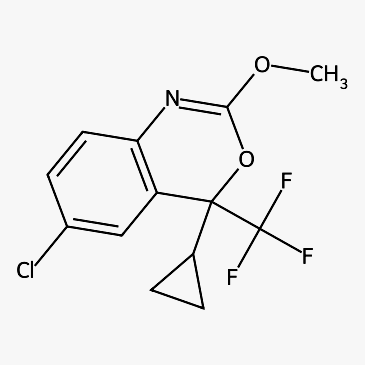 COC1=Nc2ccc(Cl)cc2C(C2CC2)(C(F)(F)F)O1